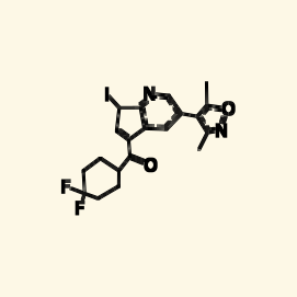 Cc1noc(C)c1-c1cnc2c(c1)C(C(=O)C1CCC(F)(F)CC1)=CC2I